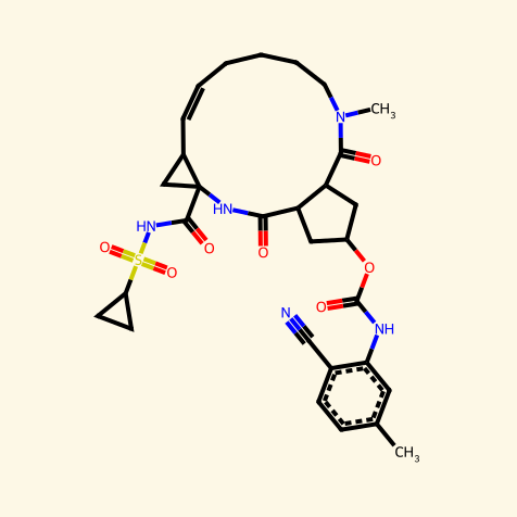 Cc1ccc(C#N)c(NC(=O)OC2CC3C(=O)NC4(C(=O)NS(=O)(=O)C5CC5)CC4C=CCCCCN(C)C(=O)C3C2)c1